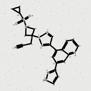 N#CCC1(n2ncc(-c3cc(-c4cc[nH]n4)cc4ncccc34)n2)CN(S(=O)(=O)C2CC2)C1